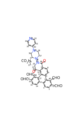 O=Cc1cccc(-c2ccc3c(c2-c2cccc(C=O)c2C=O)C(=O)[C@H](CC(=O)O)N(N2CCN(c4ccncc4)CC2)C3=O)c1C=O